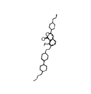 CCCCC1CCC(C2CCC(CCc3ccc4cc(C5CCC(CCC)CC5)oc(=O)c4c3F)CC2)CC1